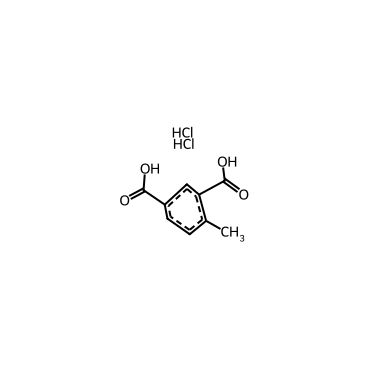 Cc1ccc(C(=O)O)cc1C(=O)O.Cl.Cl